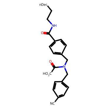 CCCCCCCCCCCCNC(=O)c1ccc(CN(Cc2ccc(C#N)cc2)C(=O)C(=O)O)cc1